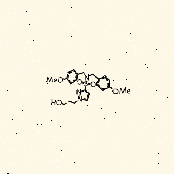 COc1ccc(CN(Cc2ccc(OC)cc2)S(=O)(=O)c2ccn(CCCO)n2)cc1